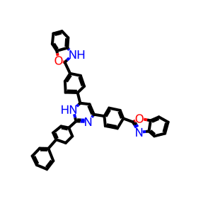 C1=C(C2=NC(c3ccc(-c4nc5ccccc5o4)cc3)=CC(c3ccc(C4Nc5ccccc5O4)cc3)N2)CCC(c2ccccc2)=C1